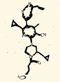 C=Cc1cc(-c2c(C3CC3)nc(N3CCN(C(=O)CCO)C(C4CC4)C3)c(C#N)c2C)cnn1